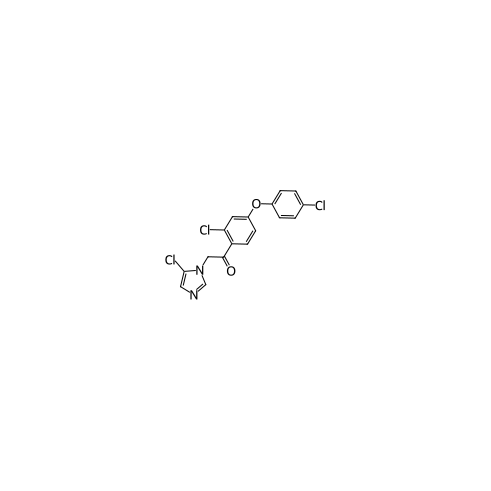 O=C(Cn1cncc1Cl)c1ccc(Oc2ccc(Cl)cc2)cc1Cl